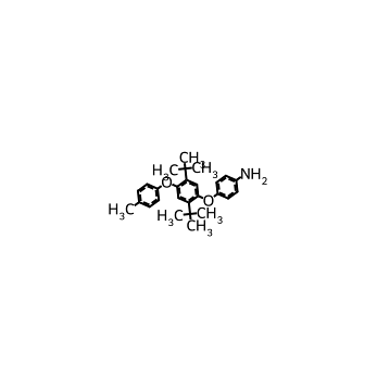 Cc1ccc(Oc2cc(C(C)(C)C)c(Oc3ccc(N)cc3)cc2C(C)(C)C)cc1